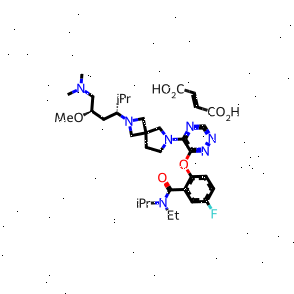 CCN(C(=O)c1cc(F)ccc1Oc1nncnc1N1CCC2(C1)CN([C@H](C[C@H](CN(C)C)OC)C(C)C)C2)C(C)C.O=C(O)/C=C/C(=O)O